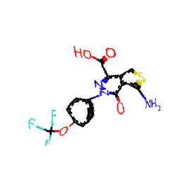 Nc1scc2c(C(=O)O)nn(-c3ccc(OC(F)(F)F)cc3)c(=O)c12